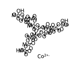 O=P([O][Mo](=[O])(=[O])[O][Mo](=[O])(=[O])[O][Mo](=[O])(=[O])[O][Mo](=[O])(=[O])[OH])([O][Mo](=[O])(=[O])[O][Mo](=[O])(=[O])[O][Mo](=[O])(=[O])[O][Mo](=[O])(=[O])[OH])[O][Mo](=[O])(=[O])[O][Mo](=[O])(=[O])[O][Mo](=[O])(=[O])[O][Mo](=[O])(=[O])[OH].[Co+2]